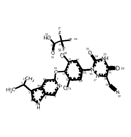 CC(C)c1c[nH]c2cnc(Oc3c(Cl)cc(-n4nc(C#N)c(=O)[nH]c4=O)cc3Cl)cc12.O=C(O)C(F)(F)F